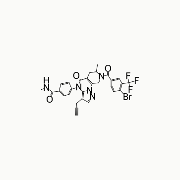 C#CCc1cnn2c3c(c(=O)n(-c4ccc(C(=O)NC)cc4)c12)CC(C)N(C(=O)c1ccc(Br)c(C(F)(F)F)c1)C3